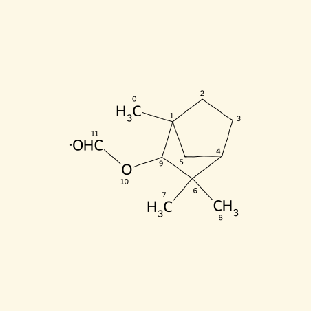 CC12CCC(C1)C(C)(C)C2O[C]=O